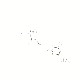 CCCN(CCC)C(=O)/C=C/CSc1nc(N)cc(SC)n1